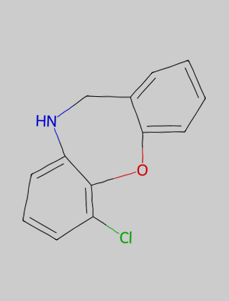 Clc1cccc2c1Oc1ccccc1CN2